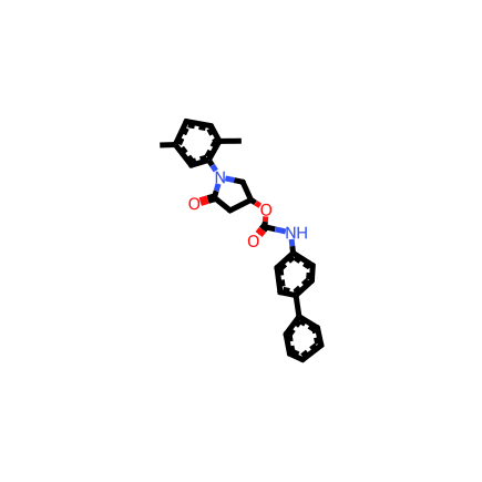 Cc1ccc(C)c(N2CC(OC(=O)Nc3ccc(-c4ccccc4)cc3)CC2=O)c1